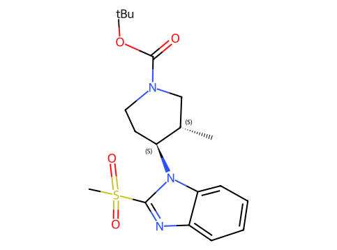 C[C@H]1CN(C(=O)OC(C)(C)C)CC[C@@H]1n1c(S(C)(=O)=O)nc2ccccc21